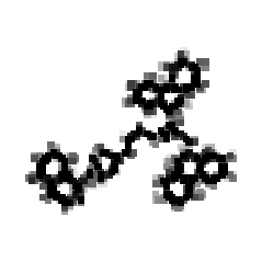 C1=C(C/C=C\C[N@]2C(Cc3cc4ccccc4c4ccccc34)C2c2cc3ccccc3c3ccccc23)C[N@]2C1C2c1nccc2ccccc12